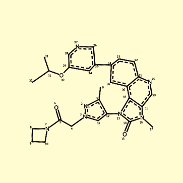 Cc1nn(CC(=O)N2CCC2)cc1-n1c(=O)n(C)c2cnc3ccc(-c4cncc(OC(C)C)c4)cc3c21